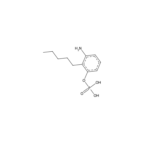 CCCCCc1c(N)cccc1OP(=O)(O)O